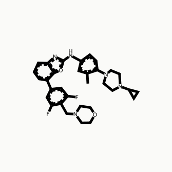 Cc1cc(Nc2nc3cccc(-c4cc(F)c(CN5CCOCC5)c(F)c4)c3o2)ccc1N1CCN(C2CC2)CC1